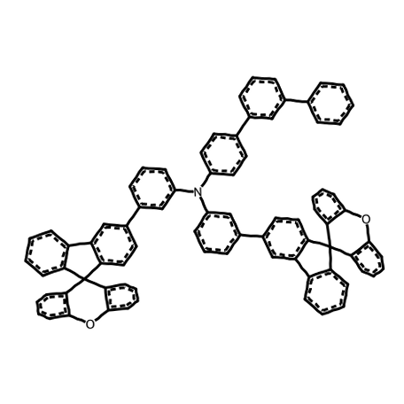 c1ccc(-c2cccc(-c3ccc(N(c4cccc(-c5ccc6c(c5)-c5ccccc5C65c6ccccc6Oc6ccccc65)c4)c4cccc(-c5ccc6c(c5)-c5ccccc5C65c6ccccc6Oc6ccccc65)c4)cc3)c2)cc1